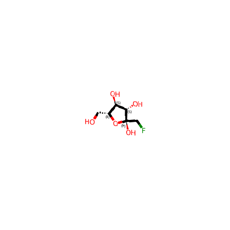 OC[C@H]1O[C@@](O)(CF)[C@@H](O)[C@@H]1O